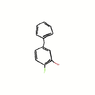 Fc1ccc(-c2c[c]ccc2)cc1Br